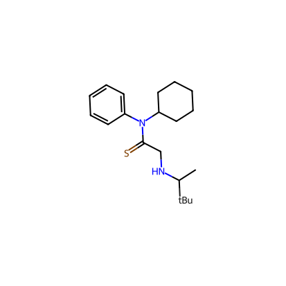 CC(NCC(=S)N(c1ccccc1)C1CCCCC1)C(C)(C)C